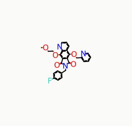 COCCOc1c2c(c(OCc3ccccn3)c3cccnc13)C(=O)N(Cc1ccc(F)cc1)C2=O